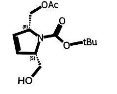 CC(=O)OC[C@H]1C=C[C@@H](CO)N1C(=O)OC(C)(C)C